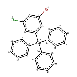 Clc1cc(Br)c[c]([Ge]([c]2ccccc2)([c]2ccccc2)[c]2ccccc2)c1